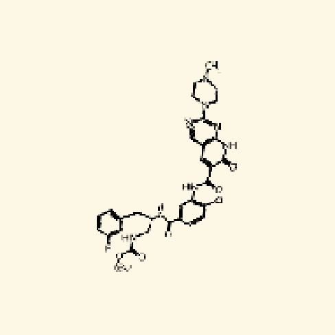 CN1CCN(c2ncc3cc(C(=O)Nc4cc(C(=O)N[C@@H](CNC(=O)OC(C)(C)C)Cc5cccc(F)c5)ccc4Cl)c(=O)[nH]c3n2)CC1